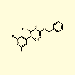 CC(NC(=O)OCc1ccccc1)C(O)c1cc(F)cc(F)c1